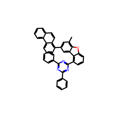 Cc1cc(-c2cccc3c2ccc2ccccc23)cc2c1oc1cccc(-c3nc(-c4ccccc4)nc(-c4ccccc4)n3)c12